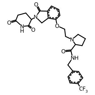 O=C1CCC(N2Cc3c(OCCN4CCCC4C(=O)NCc4ccc(C(F)(F)F)cc4)cccc3C2=O)C(=O)N1